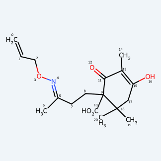 C=CCON=C(C)CCC1(C(=O)O)C(=O)C(C)=C(O)CC1(C)C